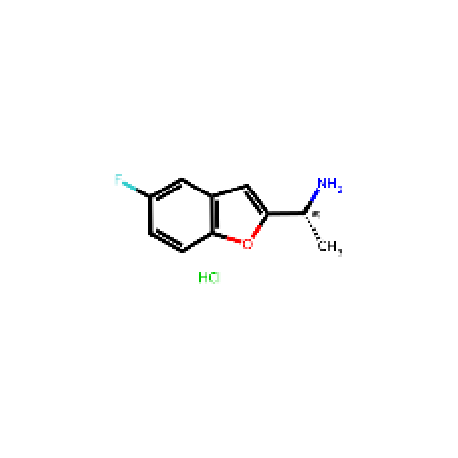 C[C@@H](N)c1cc2cc(F)ccc2o1.Cl